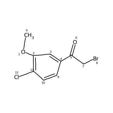 COc1cc(C(=O)CBr)ccc1Cl